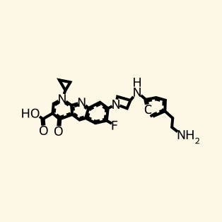 NCCc1ccc(NC2CN(c3cc4nc5c(cc4cc3F)c(=O)c(C(=O)O)cn5C3CC3)C2)cc1